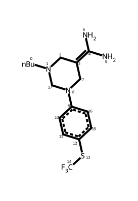 CCCCN1CC(=C(N)N)CN(c2ccc(SC(F)(F)F)cc2)C1